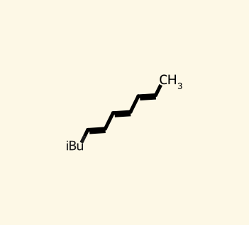 [CH2]C(/C=C/C=C/C=C/C)CC